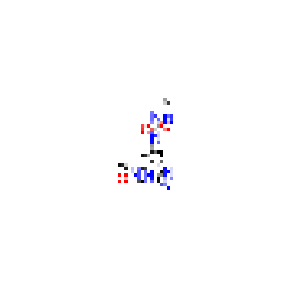 C=CC(=O)N1CCN(c2cncnc2-c2ccc(CNC(=O)c3nc(C4(C)CC4)no3)c(C)c2)CC1